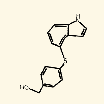 OCc1ccc(Sc2cccc3[nH]ccc23)cc1